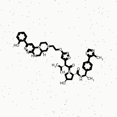 Cc1ncsc1-c1ccc([C@H](C)NC(=O)[C@@H]2C[C@@H](O)CN2C(=O)[C@@H](c2cc(OCCN3CCN4c5cc(-c6ccccc6O)nnc5NC[C@@H]4C3)no2)C(C)C)cc1